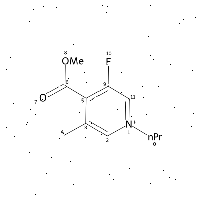 CCC[n+]1cc(C)c(C(=O)OC)c(F)c1